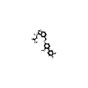 COc1cc(OCc2ccc3onc(N(C)CC(=O)O)c3c2)ccc1-c1ccc(F)c(F)c1